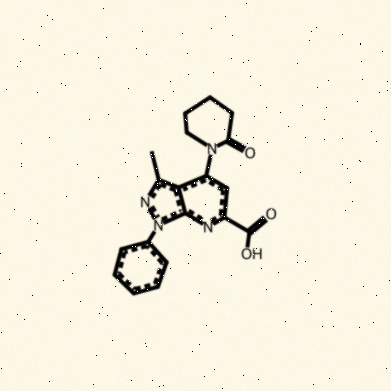 Cc1nn(-c2ccccc2)c2nc(C(=O)O)cc(N3CCCCC3=O)c12